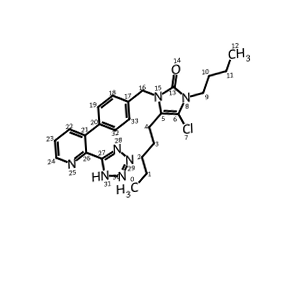 CCCCCc1c(Cl)n(CCCC)c(=O)n1Cc1ccc(-c2cccnc2-c2nnn[nH]2)cc1